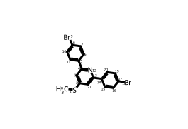 CSc1cc(-c2ccc(Br)cc2)nc(-c2ccc(Br)cc2)c1